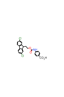 O=C(Nc1ccc(C(=O)O)cc1)OCCC1c2cc(Cl)ccc2-c2ccc(Cl)cc21